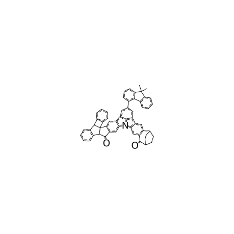 CC1(C)c2ccccc2-c2c(-c3cc4c5cc6c(cc5n5c7cc8c(cc7c(c3)c45)C34c5ccccc5C3c3ccccc3C4C8=O)C(=O)C3CCC6CC3)cccc21